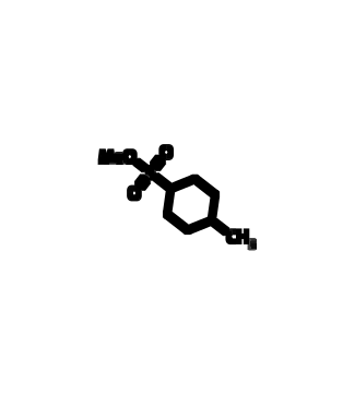 COS(=O)(=O)C1CCC(C)CC1